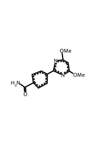 COc1cc(OC)nc(-c2ccc(C(N)=O)cc2)n1